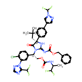 CC(NC(=O)OC[C@H](c1ccc(Cl)c(-n2ncnc2C(F)F)c1)N1C(=O)[C@@](CC(C)(C)C)(c2ccc(-c3cnn(C(F)F)c3)cc2)NC1=NC(=O)OCc1ccccc1)C(F)F